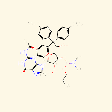 CCCCCCCCCO[C@@H]1[C@H](OP(OCCC#N)N(C(C)C)C(C)C)[C@@H](C(O)C(c2ccccc2)(c2ccc(OC)cc2)c2ccc(OC)cc2)O[C@H]1n1cnc2c(=O)[nH]c(NC(=O)C(C)C)nc21